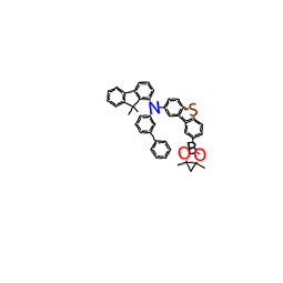 CC1(C)c2ccccc2-c2cccc(N(c3cccc(-c4ccccc4)c3)c3ccc4sc5ccc(B6OC7(C)CC7(C)O6)cc5c4c3)c21